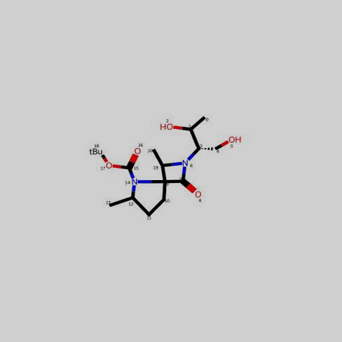 CC(O)[C@H](CO)N1C(=O)C2(CCC(C)N2C(=O)OC(C)(C)C)C1C